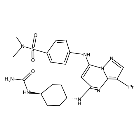 CC(C)c1cnn2c(Nc3ccc(S(=O)(=O)N(C)C)cc3)cc(N[C@H]3CC[C@H](NC(N)=O)CC3)nc12